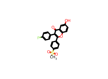 CS(=O)(=O)c1ccc(-c2oc3ccc(O)cc3c(=O)c2-c2ccc(F)cc2)cc1